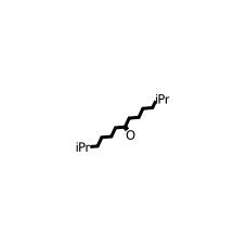 CC(C)CCCCC(=O)CCCCC(C)C